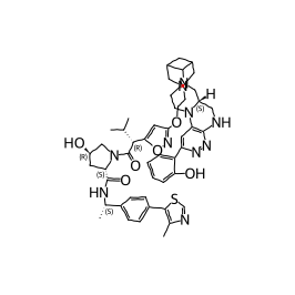 Cc1ncsc1-c1ccc([C@H](C)NC(=O)[C@@H]2C[C@@H](O)CN2C(=O)[C@@H](c2cc(OCCN3CC4CC(C3)C4N3CCN4c5cc(-c6ccccc6O)nnc5NC[C@H]4C3)no2)C(C)C)cc1